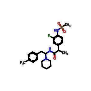 CC(C(=O)NC(Cc1ccc(C(F)(F)F)cc1)N1CCCCC1)c1ccc(NS(C)(=O)=O)c(F)c1